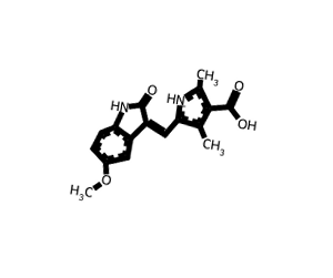 COc1ccc2c(c1)/C(=C/c1[nH]c(C)c(C(=O)O)c1C)C(=O)N2